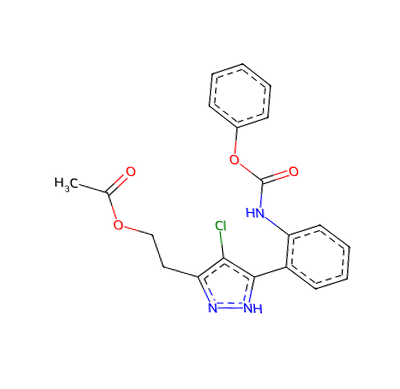 CC(=O)OCCc1n[nH]c(-c2ccccc2NC(=O)Oc2ccccc2)c1Cl